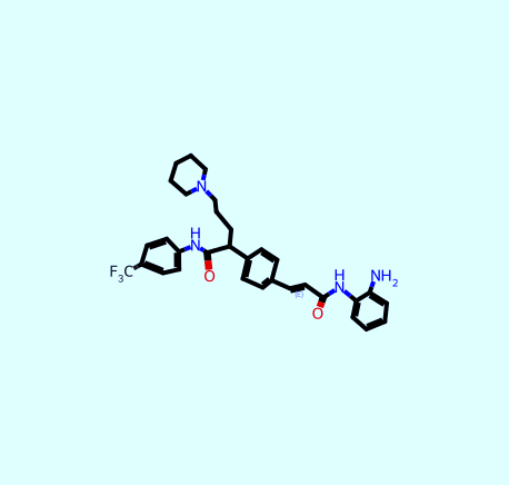 Nc1ccccc1NC(=O)/C=C/c1ccc(C(CCCN2CCCCC2)C(=O)Nc2ccc(C(F)(F)F)cc2)cc1